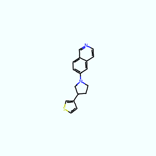 c1cc2cc(N3CCC(c4ccsc4)C3)ccc2cn1